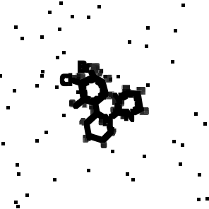 Cc1c(C2C[CH]CCN2c2ncccn2)ccc(Br)c1Cl